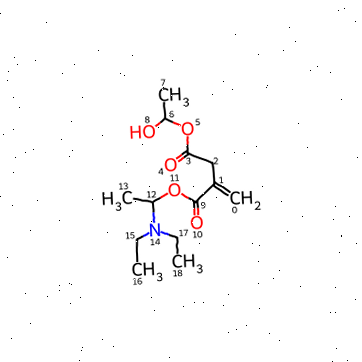 C=C(CC(=O)OC(C)O)C(=O)OC(C)N(CC)CC